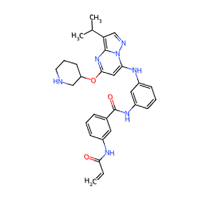 C=CC(=O)Nc1cccc(C(=O)Nc2cccc(Nc3cc(OC4CCCNC4)nc4c(C(C)C)cnn34)c2)c1